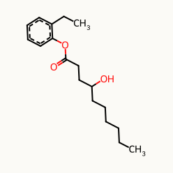 CCCCCCC(O)CCC(=O)Oc1ccccc1CC